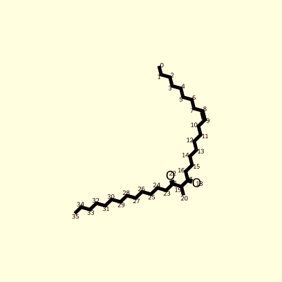 CCCCCCCC/C=C\CCCCCCCC(=O)C(C)C(=O)CCCCCCCCCCCCC